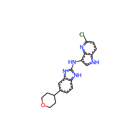 Clc1ccc2[nH]cc(Nc3nc4cc(C5CCOCC5)ccc4[nH]3)c2n1